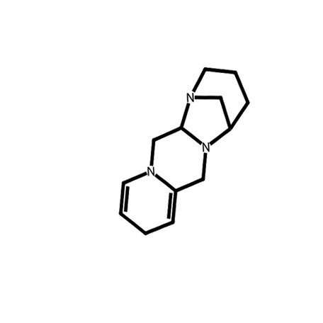 C1=CN2CC3N4CCCC(C4)N3CC2=CC1